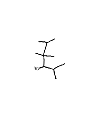 CC(C)C(O)C(C)(C)C(C)C